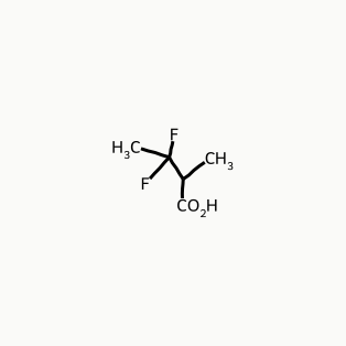 CC(C(=O)O)C(C)(F)F